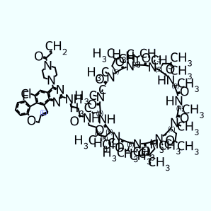 C=CC(=O)N1CCN(c2nc(NCCC(=O)NCC[C@@H](C)[C@@H](O)[C@H]3C(=O)N[C@@H](CC)C(=O)N(C)CC(=O)N(C)[C@@H](CC(C)C)C(=O)N[C@@H](C(C)C)C(=O)N(C)[C@@H](CC(C)C)C(=O)N[C@@H](C)C(=O)N[C@H](C)C(=O)N(C)[C@@H](CC(C)C)C(=O)N(C)[C@@H](CC(C)C)C(=O)N(C)[C@@H](C(C)C)C(=O)N3C)nc3c4c(c(Cl)cc23)-c2c(F)cccc2OC/C=C/4)CC1